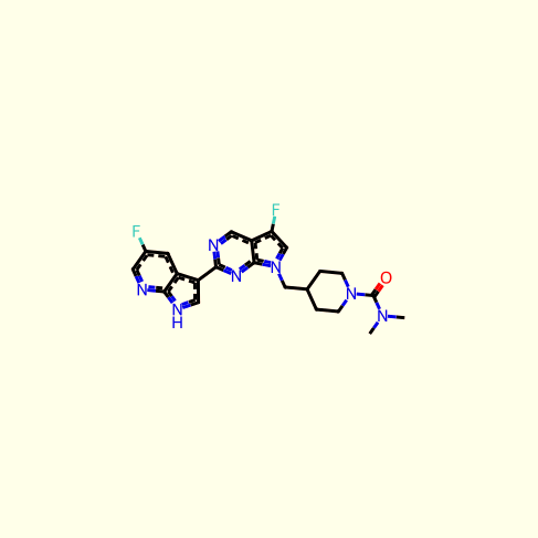 CN(C)C(=O)N1CCC(Cn2cc(F)c3cnc(-c4c[nH]c5ncc(F)cc45)nc32)CC1